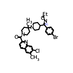 CCO/N=C(/c1ccc(Br)cc1)C1CCN(C2(C)CCN(C(=O)c3ccc4cc(C)c(Cl)cc4n3)CC2)CC1